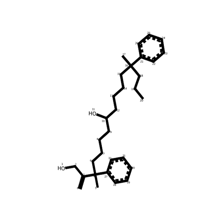 C=C(CO)C(C)(CCCCC(O)CCCCC(C)(CCC)c1ccccc1)c1ccccc1